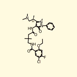 CCOc1cc(F)c(Cl)cc1C(=O)NCC(C)(C)CC(=O)Nc1c([C@H](C)CN(C)C)n(C)n(-c2ccccc2)c1=O